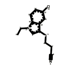 CCn1cc(SCCC#N)c2cc(Cl)ccc21